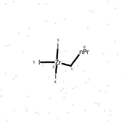 CCC[CH2][Zr]([I])([I])[I]